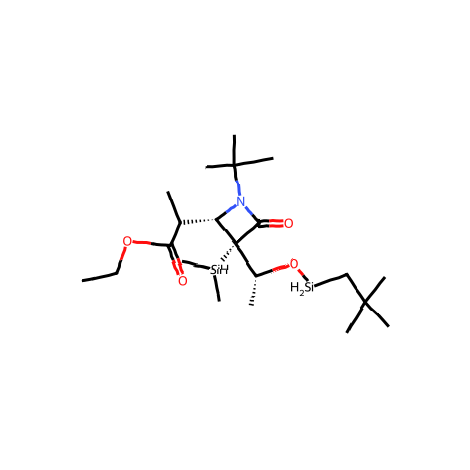 CCOC(=O)C(C)[C@@H]1N(C(C)(C)C)C(=O)[C@]1([C@@H](C)O[SiH2]CC(C)(C)C)[SiH](C)C